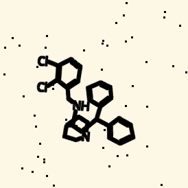 Clc1cccc(CNC2C3CCN(CC3)C2C(c2ccccc2)c2ccccc2)c1Cl